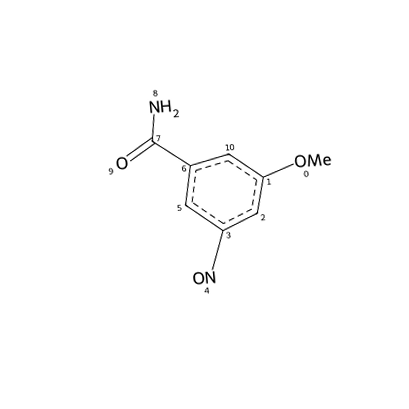 COc1cc(N=O)cc(C(N)=O)c1